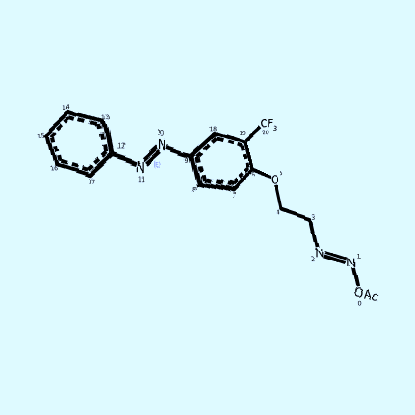 CC(=O)ON=NCCOc1ccc(/N=N/c2ccccc2)cc1C(F)(F)F